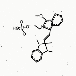 CCn1c(C=CC2(C)C(C)c3ccccc3N2C)c2ccccc2c1OC.[O-][Cl+3]([O-])([O-])O